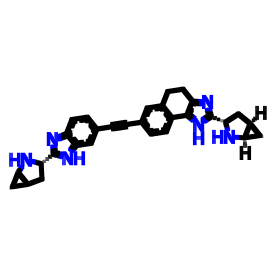 C(#Cc1ccc2nc([C@@H]3CC4CC4N3)[nH]c2c1)c1ccc2c(c1)CCc1nc([C@@H]3C[C@H]4C[C@H]4N3)[nH]c1-2